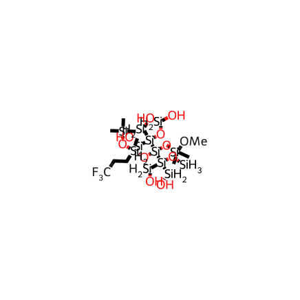 CO[Si](C)(C)O[Si](O[Si](C)(CCC(F)(F)F)O[Si](C)(C)C)([Si](O[SiH3])([SiH2]O)[SiH2]O)[Si](O[SiH2]O)([SiH2]O)[SiH2]O